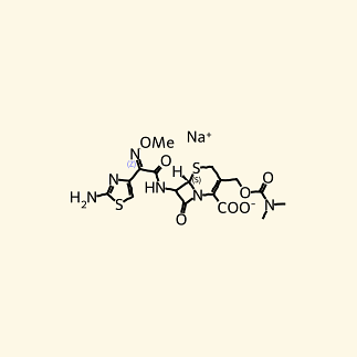 CO/N=C(\C(=O)NC1C(=O)N2C(C(=O)[O-])=C(COC(=O)N(C)C)CS[C@@H]12)c1csc(N)n1.[Na+]